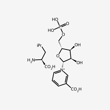 CC(C)C[C@H](N)C(=O)O.O=C(O)c1ccc[n+]([C@@H]2O[C@H](COP(=O)(O)O)[C@@H](O)[C@H]2O)c1